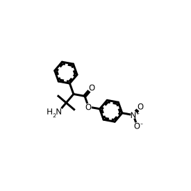 CC(C)(N)C(C(=O)Oc1ccc([N+](=O)[O-])cc1)c1ccccc1